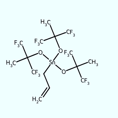 C=C[CH2][Sn]([O]C(C)(C(F)(F)F)C(F)(F)F)([O]C(C)(C(F)(F)F)C(F)(F)F)[O]C(C)(C(F)(F)F)C(F)(F)F